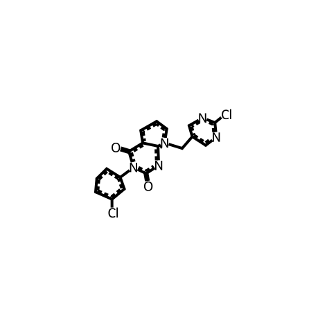 O=c1nc2n(Cc3cnc(Cl)nc3)cccc-2c(=O)n1-c1cccc(Cl)c1